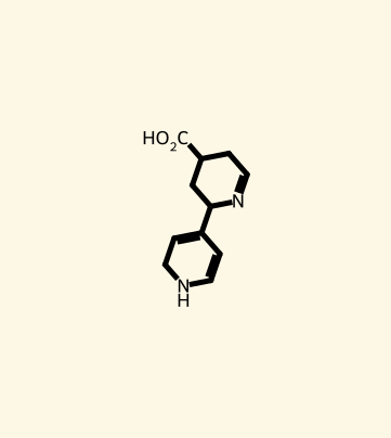 O=C(O)C1CC=NC(C2=CCNC=C2)C1